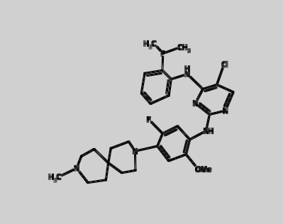 COc1cc(N2CCC3(CCN(C)CC3)CC2)c(F)cc1Nc1ncc(Cl)c(Nc2ccccc2P(C)C)n1